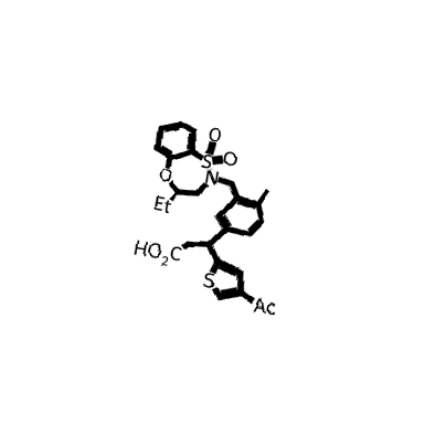 CC[C@@H]1CN(Cc2cc(C(CC(=O)O)c3cc(C(C)=O)cs3)ccc2C)S(=O)(=O)c2ccccc2O1